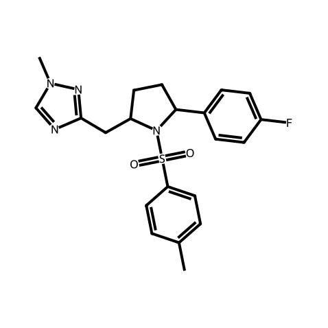 Cc1ccc(S(=O)(=O)N2C(Cc3ncn(C)n3)CCC2c2ccc(F)cc2)cc1